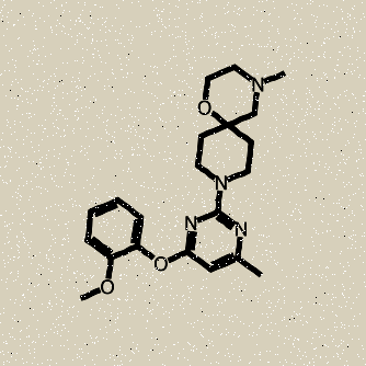 COc1ccccc1Oc1cc(C)nc(N2CCC3(CC2)CN(C)CCO3)n1